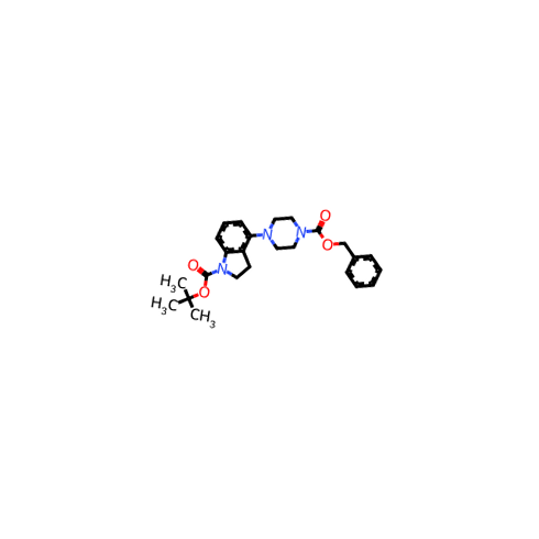 CC(C)(C)OC(=O)N1CCc2c(N3CCN(C(=O)OCc4ccccc4)CC3)cccc21